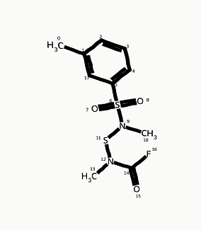 Cc1cccc(S(=O)(=O)N(C)SN(C)C(=O)F)c1